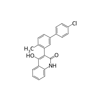 Cc1ccc(-c2ccc(Cl)cc2)cc1-c1c(O)c2ccccc2[nH]c1=O